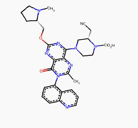 Cc1nc2c(N3CCN(C(=O)O)[C@@H](CC#N)C3)nc(OC[C@@H]3CCCN3C)nc2c(=O)n1-c1cccc2ncccc12